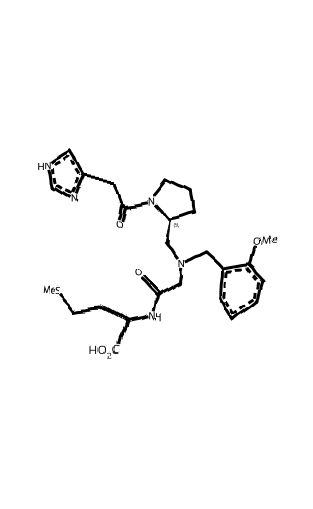 COc1ccccc1CN(CC(=O)NC(CCSC)C(=O)O)C[C@@H]1CCCN1C(=O)Cc1c[nH]cn1